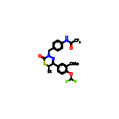 CCC1SC(=O)N(Cc2ccc(NC(=O)C(F)(F)F)cc2)N=C1c1ccc(OC(F)F)c(OC)c1